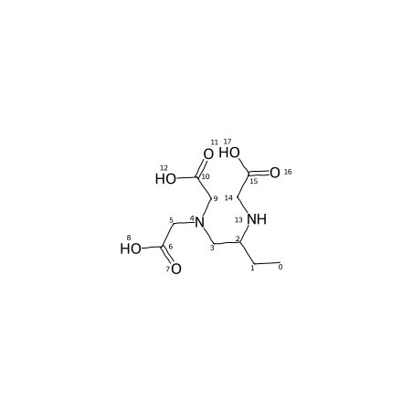 CCC(CN(CC(=O)O)CC(=O)O)NCC(=O)O